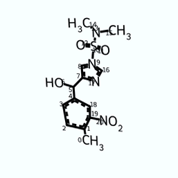 Cc1ccc(C(O)c2cn(S(=O)(=O)N(C)C)cn2)cc1[N+](=O)[O-]